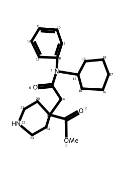 COC(=O)C1(CC(=O)N(c2ccccc2)C2CCCCC2)CCNCC1